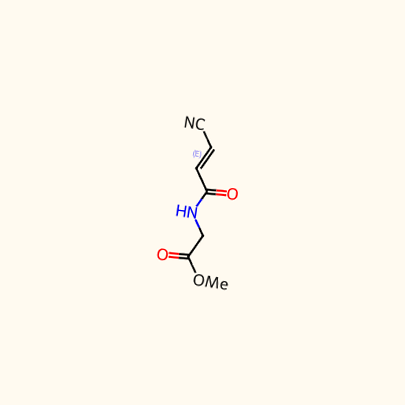 COC(=O)CNC(=O)/C=C/C#N